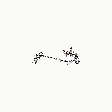 C[C@@]12Cc3[nH]nc(C(=O)Nc4cnn([C@H](c5ccccc5)C5CN(C(=O)CCOCCOCCOCCOCCOCCNc6cccc7c6C(=O)N(C6CCC(=O)NC6=O)C7=O)C5)c4)c3C[C@@H]1C2(F)F